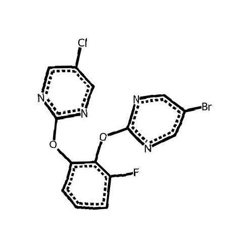 Fc1cccc(Oc2ncc(Cl)cn2)c1Oc1ncc(Br)cn1